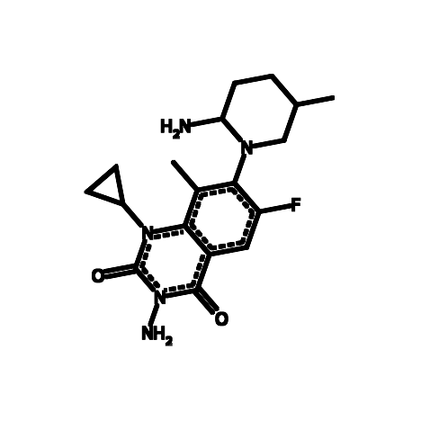 Cc1c(N2CC(C)CCC2N)c(F)cc2c(=O)n(N)c(=O)n(C3CC3)c12